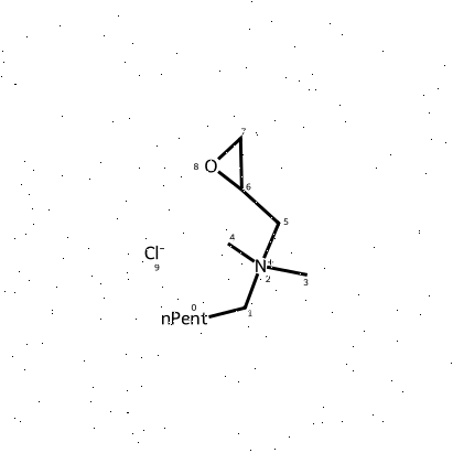 CCCCCC[N+](C)(C)CC1CO1.[Cl-]